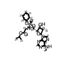 CNc1ncnc2c1ncn2[C@@H]1O[C@H](COP(=O)(NCC(=O)OC(C)C)Oc2ccccc2)[C@@H](O)[C@@H]1C